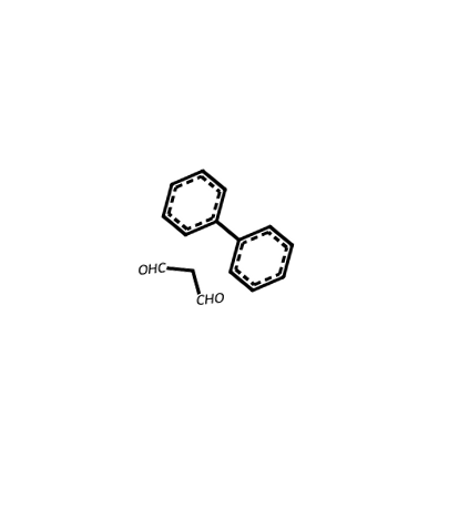 O=CCC=O.c1ccc(-c2ccccc2)cc1